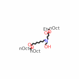 CCCCCCCCC(CC)OC(=O)CCCN(CCO)CCCCCCCC(=O)OC(CCCCCCCC)CCCCCCCC